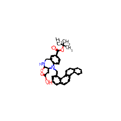 CC(C)(C)OC(=O)c1ccc2c(c1)CNC(=O)C(CC(=O)O)N2Cc1cccc2ccc3c4ccccc4ccc3c12